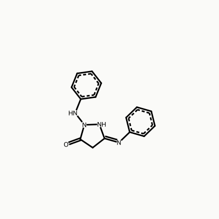 O=C1CC(=Nc2ccccc2)NN1Nc1ccccc1